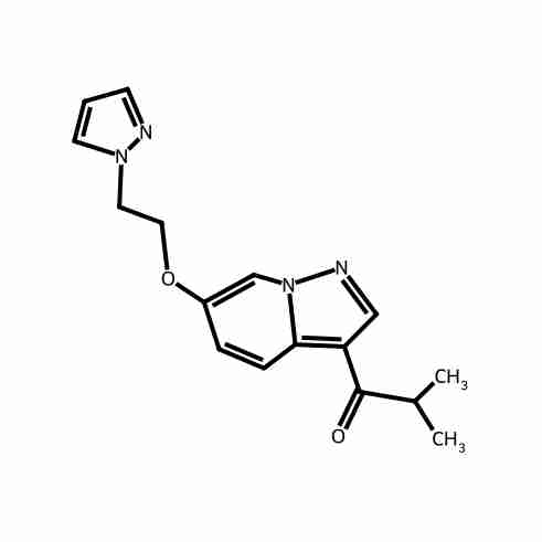 CC(C)C(=O)c1cnn2cc(OCCn3cccn3)ccc12